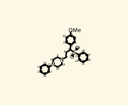 COc1ccc(C(CCN2CCN(c3ccccc3)CC2)S(=O)(=O)c2ccccc2)cc1